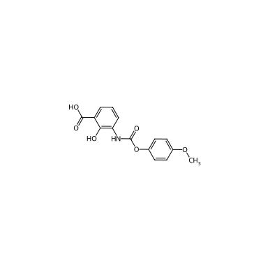 COc1ccc(OC(=O)Nc2cccc(C(=O)O)c2O)cc1